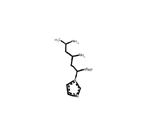 CCCCCC(CC(N)CC(C)N)n1ccnc1